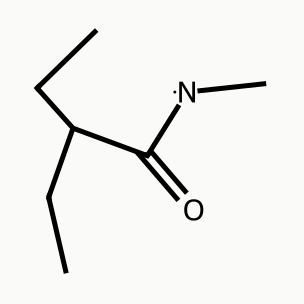 CCC(CC)C(=O)[N]C